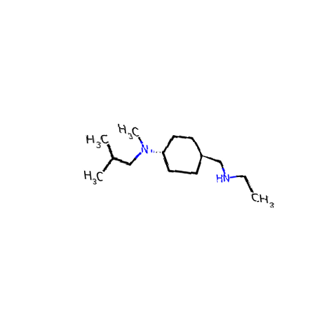 CCNC[C@H]1CC[C@H](N(C)CC(C)C)CC1